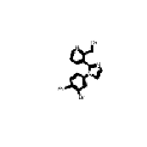 CC(C)Cc1ncccc1-c1nccn1-c1ccc(C(C)C)c(Br)c1